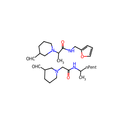 CC(C(=O)NCc1ccco1)N1CCCC(C=O)C1.CCCCCC(C)NC(=O)CN1CCCC(C=O)C1